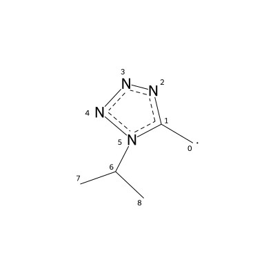 [CH2]c1nnnn1C(C)C